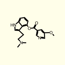 COc1cncc(C(=O)Oc2cccc3[nH]cc(CCN(C)C)c23)c1